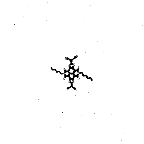 CCCCCCn1c(=O)c2c3sc(=C(C#N)C#N)sc3c3c(=O)n(CCCCCC)c(=O)c4c5sc(=C(C#N)C#N)sc5c(c1=O)c2c34